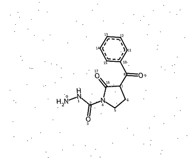 NNC(=O)N1CCC(C(=O)c2ccccc2)C1=O